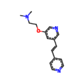 CN(C)CCOc1cncc(C=Cc2ccncc2)c1